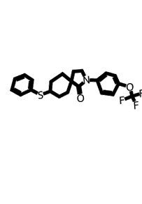 O=C1N(c2ccc(OC(F)(F)F)cc2)CCC12CCC(Sc1ccccc1)CC2